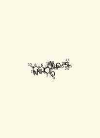 COc1ccc(CC2CC(C)C=NN2)c2cnn(COCC[Si](C)(C)C)c12